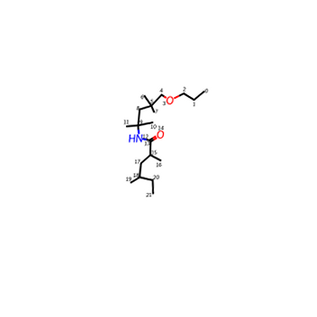 CCCOCC(C)(C)CC(C)(C)NC(=O)C(C)CC(C)CC